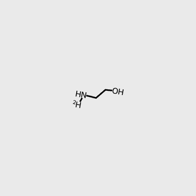 [2H]NCCO